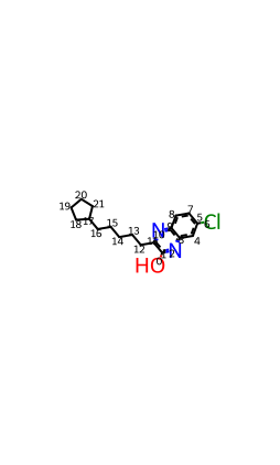 Oc1nc2cc(Cl)ccc2nc1CCCCCC1CCCC1